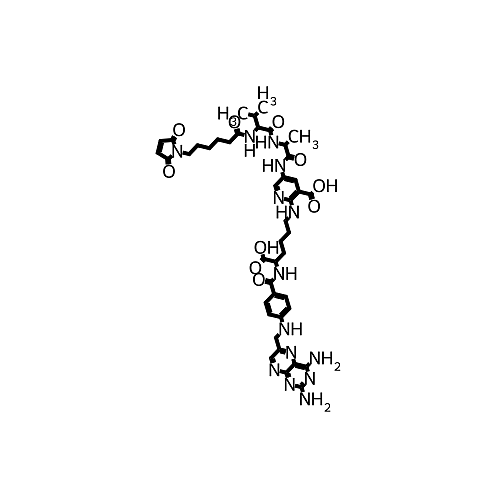 CC(NC(=O)C(NC(=O)CCCCCN1C(=O)C=CC1=O)C(C)C)C(=O)Nc1cnc(NCCCCC(NC(=O)c2ccc(NCc3cnc4nc(N)nc(N)c4n3)cc2)C(=O)O)c(C(=O)O)c1